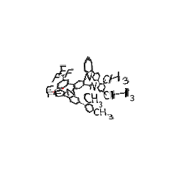 Cc1ccc(-c2ccc3c4ccccc4n(-c4cc(-c5cc(C(F)(F)F)cc(C(F)(F)F)c5)c(-n5c6ccccc6c6ccc(-c7ccc(C)cc7C)cc65)cc4C#N)c3c2)c(C)c1